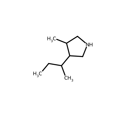 CCC(C)C1CNCC1C